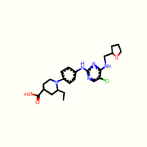 CCC1CC(C(=O)O)CCN1c1ccc(Nc2ncc(Cl)c(NCC3CCCO3)n2)cc1